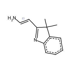 CC1(C)C(/C=C/N)=Nc2ccccc21